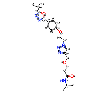 CC(C)NC(=O)CCOCc1cn(CCOc2ccc(-c3nnc(C(C)C)o3)cc2)nn1